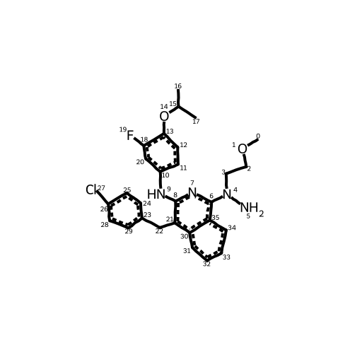 COCCN(N)c1nc(Nc2ccc(OC(C)C)c(F)c2)c(Cc2ccc(Cl)cc2)c2ccccc12